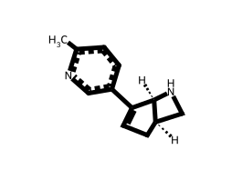 Cc1ccc(C2=CC[C@@H]3CN[C@H]23)cn1